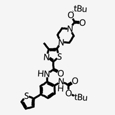 Cc1nc(C(=O)Nc2cc(-c3cccs3)ccc2NC(=O)OC(C)(C)C)sc1N1CCN(C(=O)OC(C)(C)C)CC1